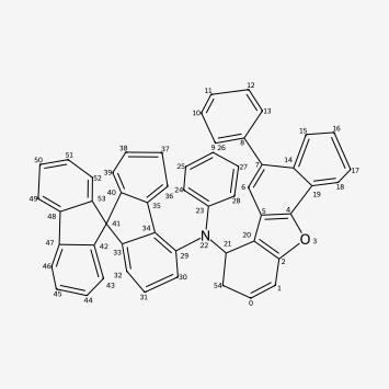 C1=Cc2oc3c(cc(-c4ccccc4)c4ccccc43)c2C(N(c2ccccc2)c2cccc3c2-c2ccccc2C32c3ccccc3-c3ccccc32)C1